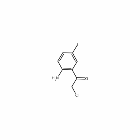 Nc1ccc(I)cc1C(=O)CCl